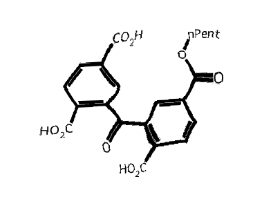 CCCCCOC(=O)c1ccc(C(=O)O)c(C(=O)c2cc(C(=O)O)ccc2C(=O)O)c1